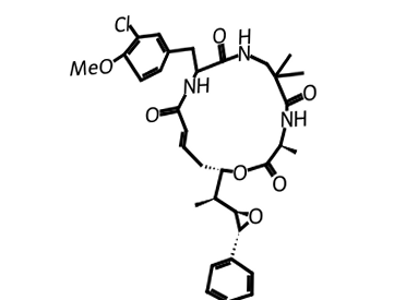 COc1ccc(CC2NC(=O)/C=C/C[C@@H]([C@H](C)[C@H]3O[C@@H]3c3ccccc3)OC(=O)[C@H](C)NC(=O)C(C)(C)CNC2=O)cc1Cl